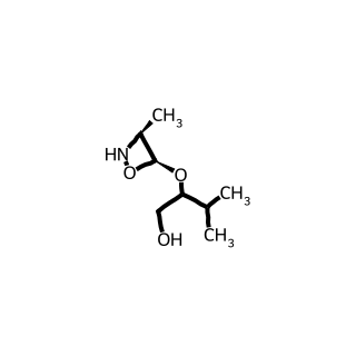 CC(C)C(CO)O[C@H]1ON[C@H]1C